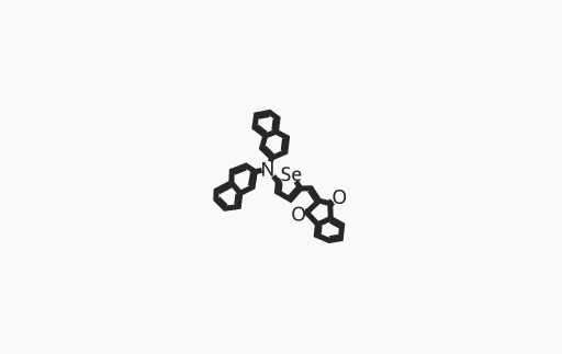 O=C1C(=Cc2ccc(N(c3ccc4ccccc4c3)c3ccc4ccccc4c3)[se]2)C(=O)c2ccccc21